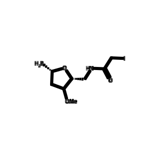 B[C@H]1CC(OC)[C@@H](CNC(=O)CI)O1